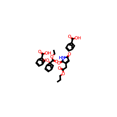 CCCOC(=O)CC1=CC(=O)NC1=O.CCOC(=O)C1(O)CC2C=CC1C2.O=C(O)C1CC2C=CC1C2.O=C(O)C1CC2C=CC1C2